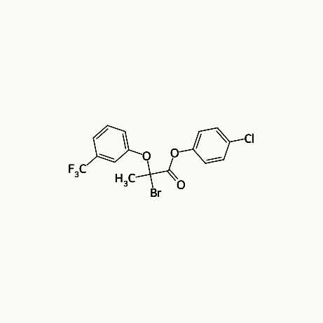 CC(Br)(Oc1cccc(C(F)(F)F)c1)C(=O)Oc1ccc(Cl)cc1